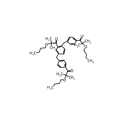 CCCCOC(C)(C)C(=O)c1ccc(Cc2ccc(Cc3ccc(C(=O)C(C)(C)OCCCC)cc3)c(C(=O)C(C)(C)OCCCC)c2)cc1